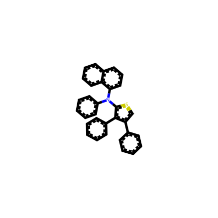 [c]1sc(N(c2ccccc2)c2cccc3ccccc23)c(-c2ccccc2)c1-c1ccccc1